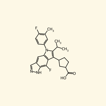 Cc1cc(-n2c(C(C)C)c(C3CCC(C(=O)O)C3)c3c(F)c4[nH]ncc4cc32)ccc1F